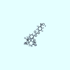 Cc1ccc(OC(=O)Oc2ccc([N+](=O)[O-])cc2)c2c1[C@]13CCN(C)[C@H](C)[C@]1(O)CCC(=O)[C@@H]3O2